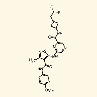 COc1ccc(NC(=O)c2c(C)nsc2Nc2cncc(C(=O)NC3CN(CC(F)F)C3)n2)cn1